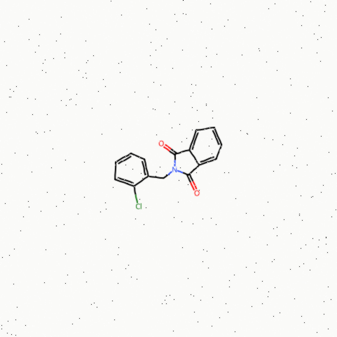 O=C1c2ccccc2C(=O)N1Cc1ccccc1Cl